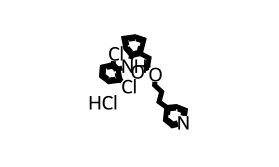 Cl.O=C(Cc1ccccc1Nc1c(Cl)cccc1Cl)OCCCc1ccncc1